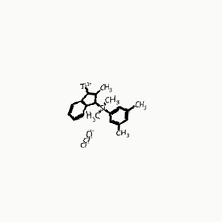 Cc1cc(C)cc([Si](C)(C)C2C(C)[CH]([Ti+3])C3C=CC=CC32)c1.[Cl-].[Cl-].[Cl-]